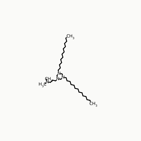 CCCCCCCCCCCCCCN1CN(CCCCCCCCCCCCCC)CN(CCCN(C)C)C1